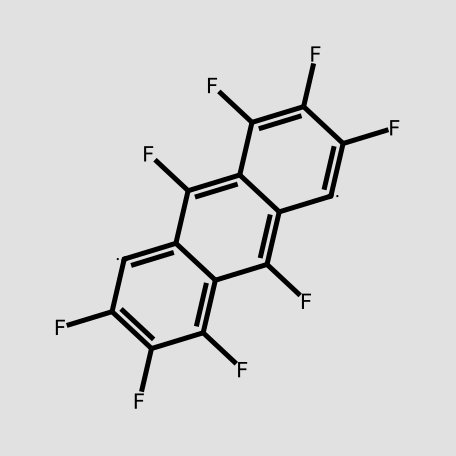 Fc1[c]c2c(F)c3c(F)c(F)c(F)[c]c3c(F)c2c(F)c1F